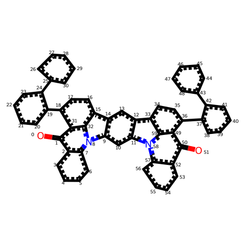 O=c1c2ccccc2n2c3cc4c(cc3c3ccc(-c5ccccc5-c5ccccc5)c1c32)c1ccc(-c2ccccc2-c2ccccc2)c2c(=O)c3ccccc3n4c21